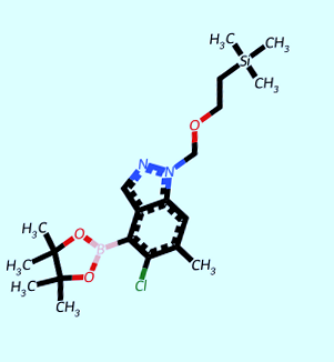 Cc1cc2c(cnn2COCC[Si](C)(C)C)c(B2OC(C)(C)C(C)(C)O2)c1Cl